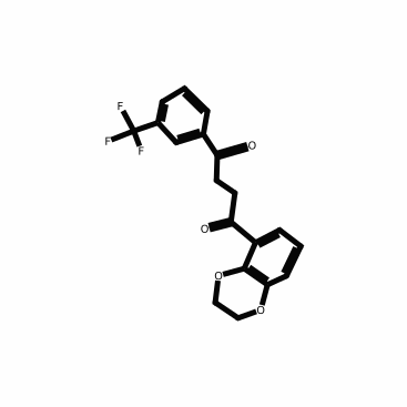 O=C(CCC(=O)c1cccc2c1OCCO2)c1cccc(C(F)(F)F)c1